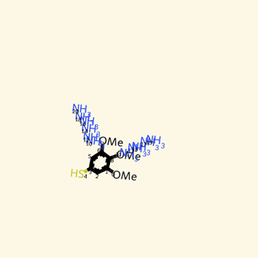 COc1cc(S)cc(OC)c1OC.N.N.N.N.N.N.N.N.N.N.N